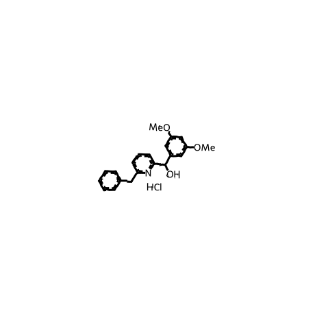 COc1cc(OC)cc(C(O)c2cccc(Cc3ccccc3)n2)c1.Cl